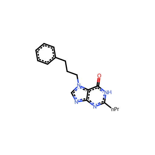 CCCc1nc2ncn(CCCc3ccccc3)c2c(=O)[nH]1